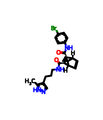 Cc1[nH]ncc1CCCNC(=O)[C@H]1[C@H](C(=O)Nc2ccc(Br)cc2)[C@@H]2C=C[C@H]1C21CC1